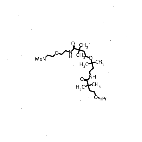 CCCOCCC(C)(C)C(=O)NCCC(C)(C)OCCC(C)(C)C(=O)NCCOCCNC